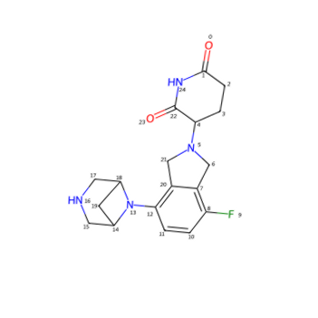 O=C1CCC(N2Cc3c(F)ccc(N4C5CNCC4C5)c3C2)C(=O)N1